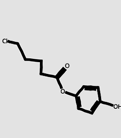 O=C(CCCCCl)Oc1ccc(O)cc1